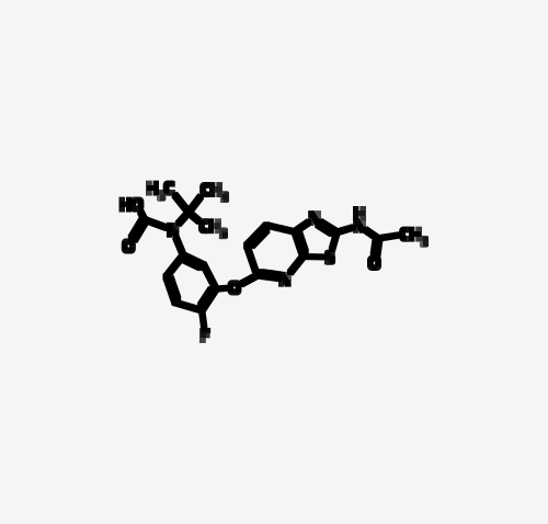 CC(=O)Nc1nc2ccc(Oc3cc(N(C(=O)O)C(C)(C)C)ccc3F)nc2s1